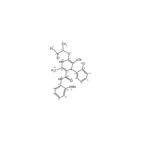 CCN(CC)C(C)SC1=C(C#N)C(c2ccccc2Cl)C(C(=O)Nc2ccccc2OC)=C(C)N1